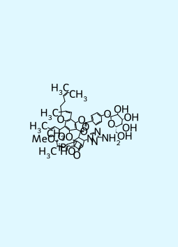 COC(=O)/C(C)=C\CC1(O)C(=O)C2CC(C(C)C)C13Oc1c(CC=C(C)C)c4c(c(OC(=O)c5ccc(O[C@H]6O[C@@H](CO)[C@H](O)[C@@H](O)[C@@H]6O)cc5)c1C(=O)C3C2n1cnc(N)n1)C=CC(C)(CCC=C(C)C)O4